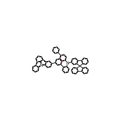 c1ccc(-c2ccc(N(c3ccc4c(c3)C3(c5ccccc5-c5ccccc53)c3ccccc3-4)c3ccccc3-c3cccc(-c4ccc5c(c4)c4cccc6c7ccccc7n5c64)c3)cc2)cc1